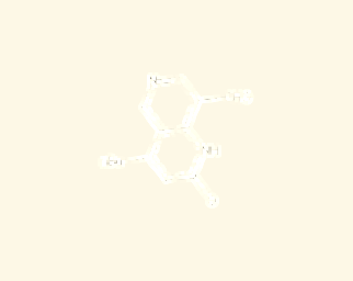 CCCCc1cc(=O)[nH]c2c(C=O)cncc12